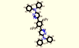 CCCc1cc(-c2ccc(N(c3ccccc3)c3ccccc3)nn2)c(CCC)cc1-c1ccc(N(c2ccccc2)c2ccccc2)nn1